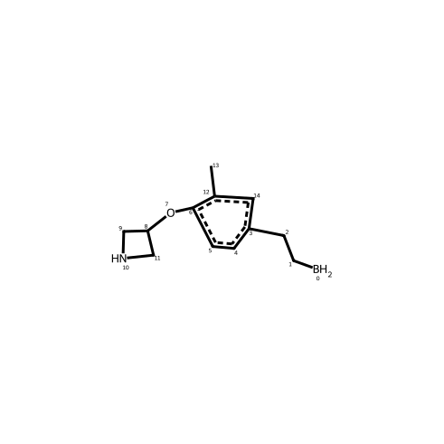 BCCc1ccc(OC2CNC2)c(C)c1